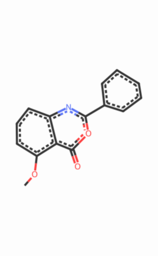 COc1cccc2nc(-c3ccccc3)oc(=O)c12